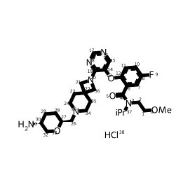 COCCN(C(=O)c1cc(F)ccc1Oc1cncnc1N1CC2(CCN(C[C@@H]3CC[C@@H](N)CO3)CC2)C1)C(C)C.Cl